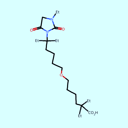 CCN1CC(=O)N(C(CC)(CC)CCCCOCCCCC(CC)(CC)C(=O)O)C1=O